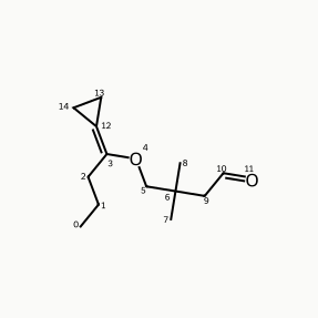 CCCC(OCC(C)(C)CC=O)=C1CC1